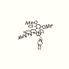 CNc1ncc2cc(-c3c(Cl)c(OC)cc(OC)c3Cl)c3nc(CN4CCNCC4)cn3c2n1